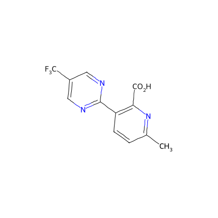 Cc1ccc(-c2ncc(C(F)(F)F)cn2)c(C(=O)O)n1